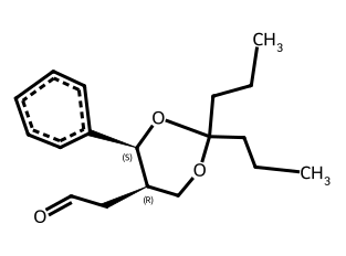 CCCC1(CCC)OC[C@@H](CC=O)[C@@H](c2ccccc2)O1